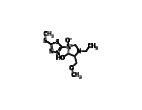 CCN1C[N+]([O-])(c2nnc(SC)s2)C(O)C1COC